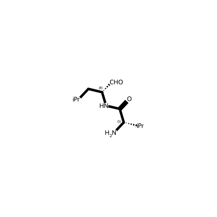 CC(C)C[C@H](C=O)NC(=O)[C@@H](N)C(C)C